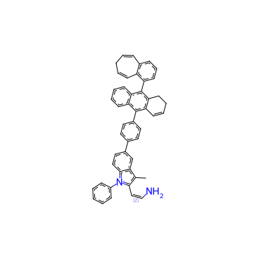 Cc1c(/C=C\N)n(-c2ccccc2)c2ccc(-c3ccc(-c4c5c(c(-c6cccc7c6C=CCC=C7)c6ccccc46)CCC=C5)cc3)cc12